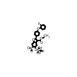 CCOC(=O)c1c(-c2ccc(Oc3ccccc3F)cc2)oc2cc([N+](=O)[O-])c(OS(=O)(=O)C(F)(F)F)cc12